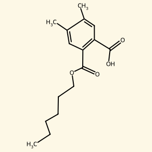 CCCCCCOC(=O)c1cc(C)c(C)cc1C(=O)O